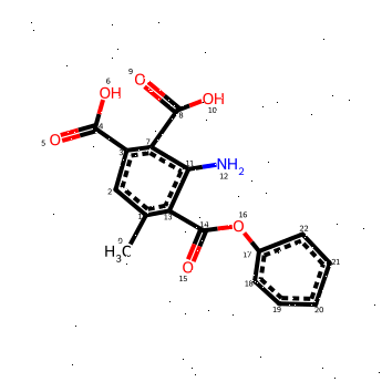 Cc1cc(C(=O)O)c(C(=O)O)c(N)c1C(=O)Oc1ccccc1